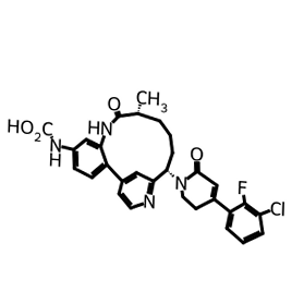 C[C@@H]1CCC[C@H](N2CCC(c3cccc(Cl)c3F)=CC2=O)c2cc(ccn2)-c2ccc(NC(=O)O)cc2NC1=O